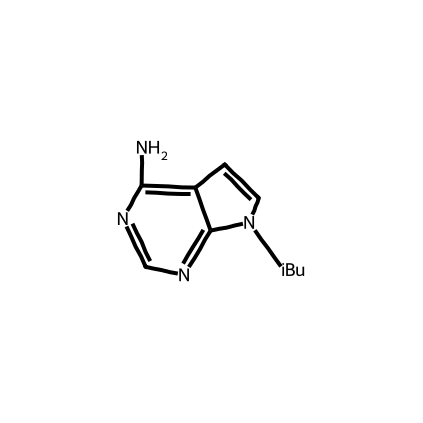 CCC(C)n1ccc2c(N)ncnc21